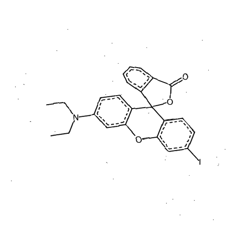 CCN(CC)c1ccc2c(c1)Oc1cc(I)ccc1C21OC(=O)c2ccccc21